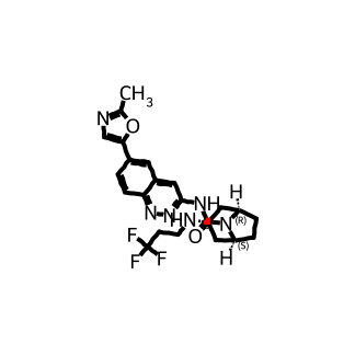 Cc1ncc(-c2ccc3nnc(NC(=O)N4[C@@H]5CC[C@H]4C[C@H](NCCC(F)(F)F)C5)cc3c2)o1